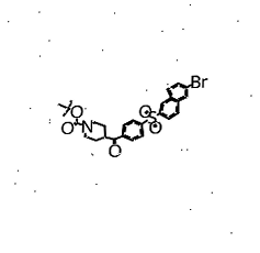 CC(C)(C)OC(=O)N1CCC(C(=O)c2ccc(S(=O)(=O)c3ccc4cc(Br)ccc4c3)cc2)CC1